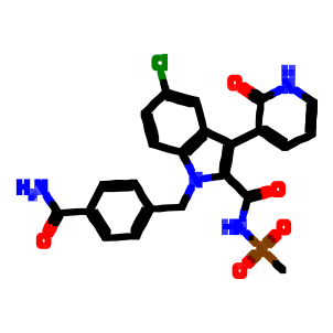 CS(=O)(=O)NC(=O)c1c(-c2ccc[nH]c2=O)c2cc(Cl)ccc2n1Cc1ccc(C(N)=O)cc1